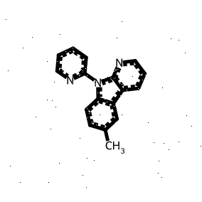 Cc1ccc2c(c1)c1cccnc1n2-c1ccccn1